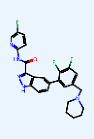 O=C(Nc1ccc(F)cn1)c1n[nH]c2ccc(-c3cc(CN4CCCCC4)cc(F)c3F)cc12